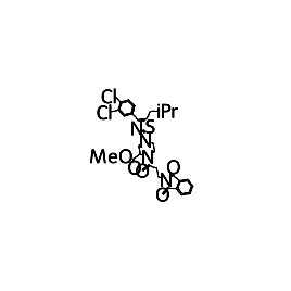 COC(=O)C1CN(c2nc(-c3ccc(Cl)c(Cl)c3)c(CC(C)C)s2)CCN1C(=O)CCN1C(=O)c2ccccc2C1=O